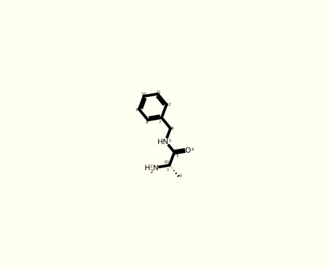 C[C@H](N)C(=O)NCc1ccccc1